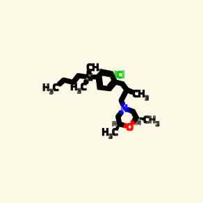 CCCC[Si](C)(C)c1ccc(CC(C)CN2C[C@@H](C)O[C@@H](C)C2)cc1.Cl